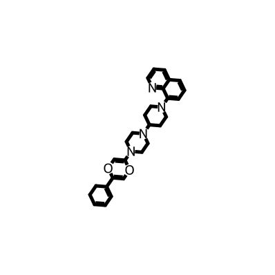 C1=CCCC(C2=COC(N3CCN(C4CCN(c5cccc6cccnc56)CC4)CC3)=CO2)=C1